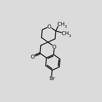 CC1(C)CC2(CCO1)CC(=O)c1cc(Br)ccc1O2